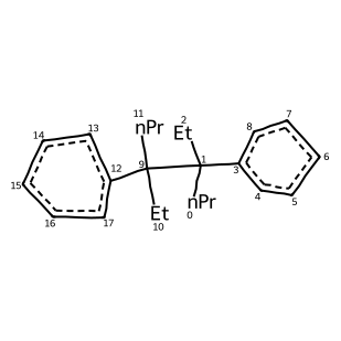 CCCC(CC)(c1ccccc1)C(CC)(CCC)c1ccccc1